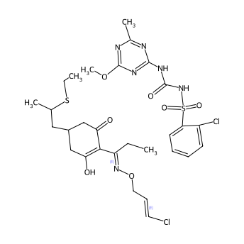 CCSC(C)CC1CC(=O)C(/C(CC)=N/OC/C=C/Cl)=C(O)C1.COc1nc(C)nc(NC(=O)NS(=O)(=O)c2ccccc2Cl)n1